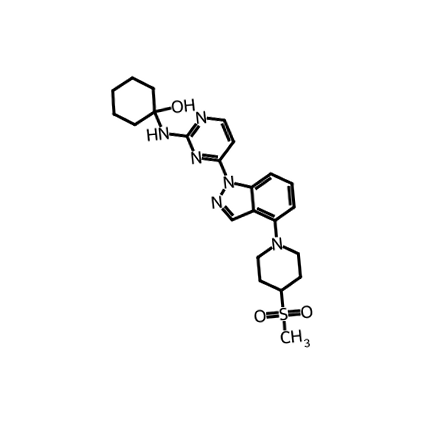 CS(=O)(=O)C1CCN(c2cccc3c2cnn3-c2ccnc(NC3(O)CCCCC3)n2)CC1